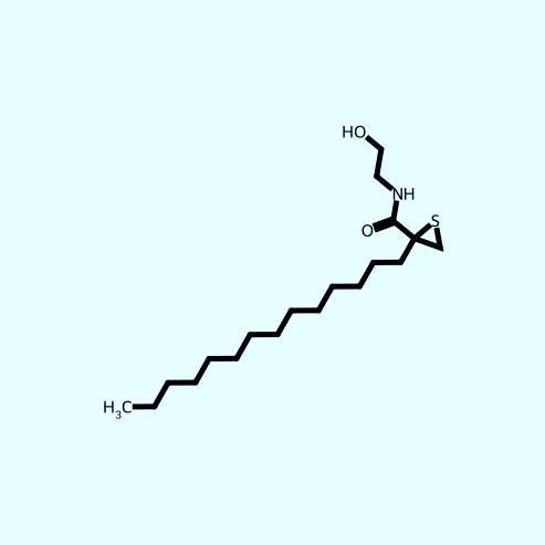 CCCCCCCCCCCCCCC1(C(=O)NCCO)CS1